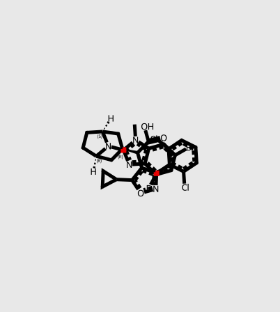 Cn1c(N2[C@@H]3CC[C@H]2C[C@@H](C(C(=O)O)c2c(-c4c(Cl)cccc4Cl)noc2C2CC2)C3)nc2c(F)cc(Br)cc21